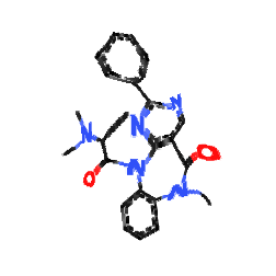 CC(C(=O)N1c2ccccc2N(C)C(=O)c2cnc(-c3ccccc3)nc21)N(C)C